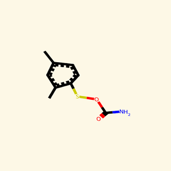 Cc1ccc(SOC(N)=O)c(C)c1